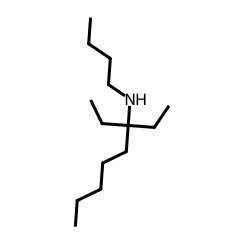 CCCCCC(CC)(CC)NCCCC